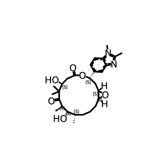 Cc1nc2cc([C@@H]3C[C@@H]4O[C@H]4CCC[C@H](C)[C@H](O)[C@@H](C)C(=O)C(C)(C)[C@@H](O)CC(=O)O3)ccc2n1C